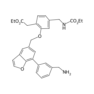 CCOC(=O)Cc1ccc(CNC(=O)OCC)cc1OCc1cc(-c2cccc(CN)c2)c2occc2c1